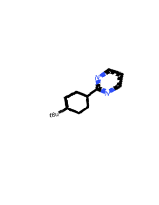 CC(C)(C)C1CCC(c2ncccn2)CC1